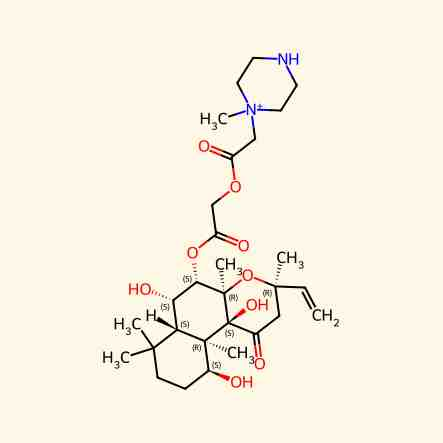 C=C[C@@]1(C)CC(=O)[C@]2(O)[C@@]3(C)[C@@H](O)CCC(C)(C)[C@@H]3[C@H](O)[C@H](OC(=O)COC(=O)C[N+]3(C)CCNCC3)[C@@]2(C)O1